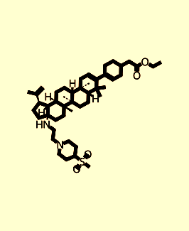 C=C(C)[C@@H]1CC[C@]2(NCCN3CCC(S(C)(=O)=O)CC3)CC[C@]3(C)[C@H](CC[C@@H]4[C@@]5(C)CC=C(C6=CCC(CC(=O)OCC)CC6)C(C)(C)[C@@H]5CC[C@]43C)[C@@H]12